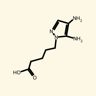 Nc1cnn(CCCCC(=O)O)c1N